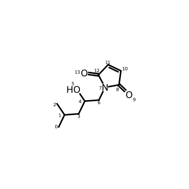 CC(C)CC(O)CN1C(=O)C=CC1=O